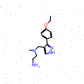 CCOc1ccc(-c2n[nH]cc2CN(C)CCN)cc1